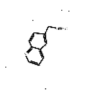 CCCCCCCCc1ccc2nc[c]cc2c1